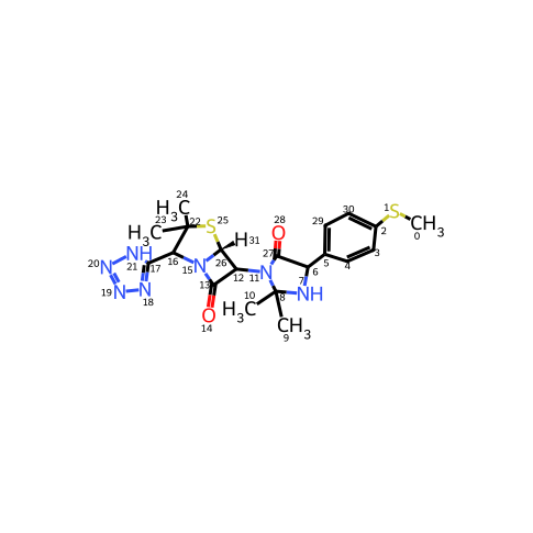 CSc1ccc(C2NC(C)(C)N(C3C(=O)N4C(c5nnn[nH]5)C(C)(C)S[C@H]34)C2=O)cc1